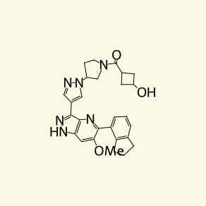 COc1cc2[nH]nc(-c3cnn(C4CCN(C(=O)C5CC(O)C5)C4)c3)c2nc1-c1cccc2c1CCC2